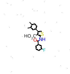 Cc1ccc(-c2csc(NC(=O)c3cccc(F)c3)c2C(=O)O)cc1C